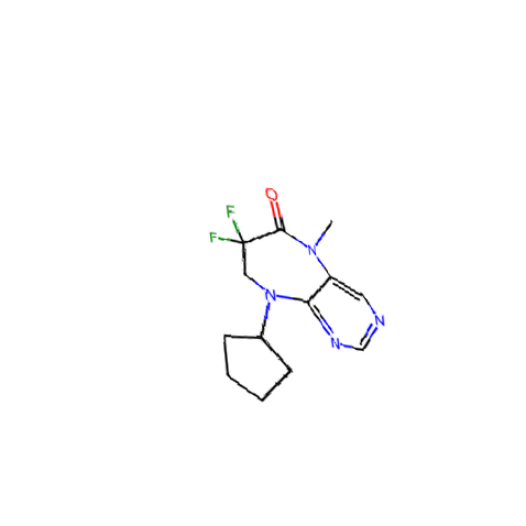 CN1C(=O)C(F)(F)CN(C2CCCC2)c2ncncc21